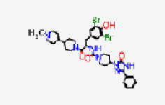 CN1CCC(C2CCN(C(=O)[C@@H](Cc3cc(Br)c(O)c(Br)c3)NC(=O)N3CCC(n4nc(-c5ccccc5)[nH]c4=O)CC3)CC2)CC1